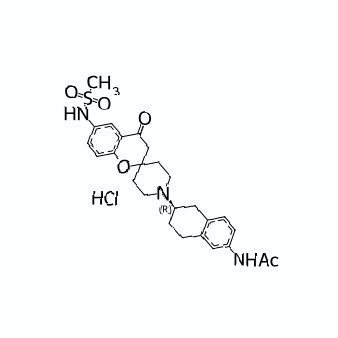 CC(=O)Nc1ccc2c(c1)CC[C@@H](N1CCC3(CC1)CC(=O)c1cc(NS(C)(=O)=O)ccc1O3)C2.Cl